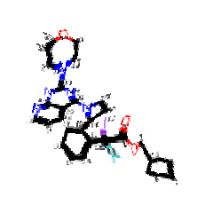 O=C(OCc1ccccc1)C(F)(I)c1ccccc1C1CCN1c1nc(N2CCCOCC2)nc2ncccc12